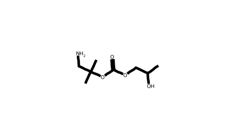 CC(O)COC(=O)OC(C)(C)CN